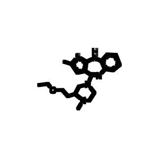 CCOCCC1CN(C2=Nc3ccccc3Nc3sc(C)cc32)CCN1C